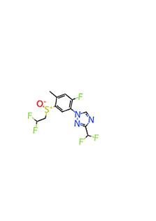 Cc1cc(F)c(-n2cnc(C(F)F)n2)cc1[S+]([O-])CC(F)F